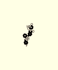 O=C1CCC(N2Cc3cc(O[C@H]4CCCC[C@H]4NCc4ccc(F)cc4F)ccc3C2=O)C(=O)N1